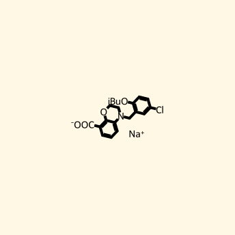 CC(C)COc1ccc(Cl)cc1CN1CCOc2c(C(=O)[O-])cccc21.[Na+]